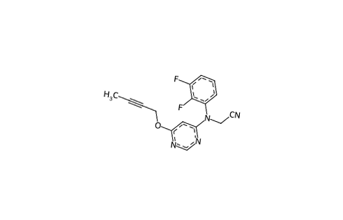 CC#CCOc1cc(N(CC#N)c2cccc(F)c2F)ncn1